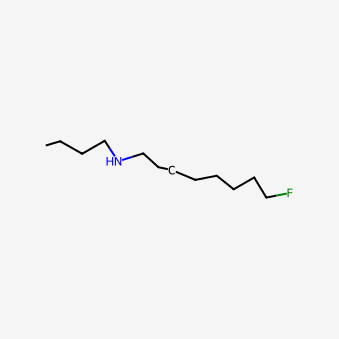 CCCCNCCCCCCCCF